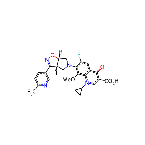 COc1c(N2C[C@@H]3C(c4ccc(C(F)(F)F)nc4)=NO[C@@H]3C2)c(F)cc2c(=O)c(C(=O)O)cn(C3CC3)c12